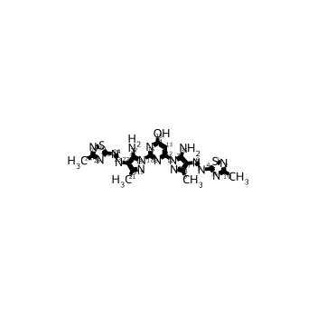 Cc1nsc(N=Nc2c(C)nn(-c3cc(O)nc(-n4nc(C)c(N=Nc5nc(C)ns5)c4N)n3)c2N)n1